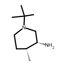 C[C@@H]1CCN(C(C)(C)C)C[C@@H]1N